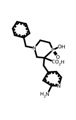 Nc1cc(CC2(C(=O)O)CN(Cc3ccccc3)CCP2(=O)O)ccn1